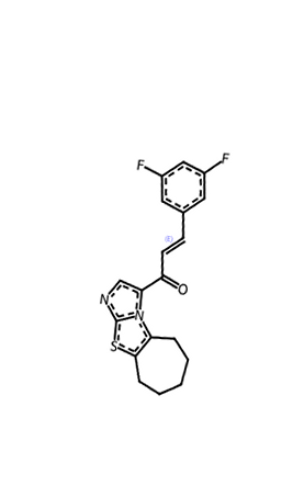 O=C(/C=C/c1cc(F)cc(F)c1)c1cnc2sc3c(n12)CCCCC3